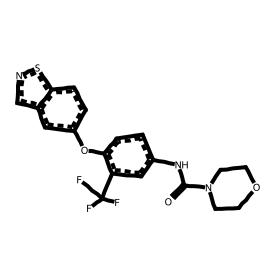 O=C(Nc1ccc(Oc2ccc3sncc3c2)c(C(F)(F)F)c1)N1CCOCC1